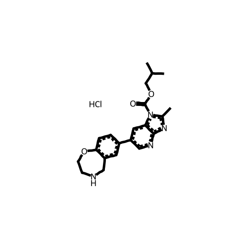 Cc1nc2ncc(-c3ccc4c(c3)CNCCO4)cc2n1C(=O)OCC(C)C.Cl